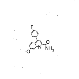 COc1ccc2c(-c3ccc(F)cc3)cc(C(N)=O)nc2c1